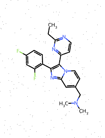 CCc1nccc(-c2c(-c3ccc(F)cc3F)nc3cc(CN(C)C)ccn23)n1